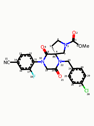 COC(=O)N1CC[C@@]2(C1)C(=O)N(c1ccc(C#N)cc1F)CC(=O)N2Cc1ccc(Cl)cc1